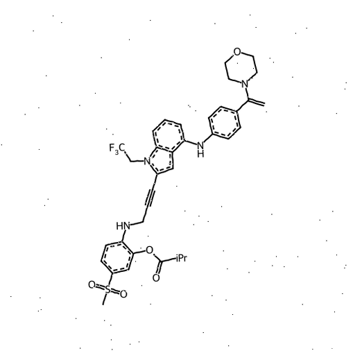 C=C(c1ccc(Nc2cccc3c2cc(C#CCNc2ccc(S(C)(=O)=O)cc2OC(=O)C(C)C)n3CC(F)(F)F)cc1)N1CCOCC1